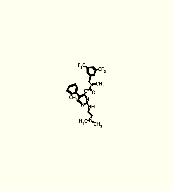 Cc1ccccc1-c1cnc(NCCN(C)C)nc1OC(=O)N(C)Cc1cc(C(F)(F)F)cc(C(F)(F)F)c1